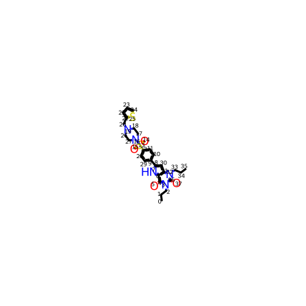 CCCn1c(=O)c2[nH]c(-c3ccc(S(=O)(=O)N4CCN(Cc5cccs5)CC4)cc3)cc2n(CCC)c1=O